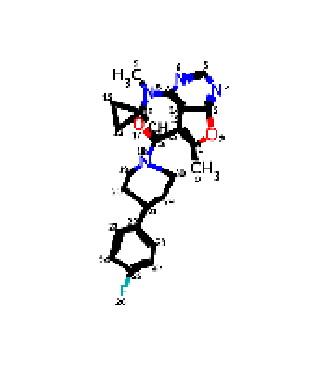 Cc1oc2ncnc(N(C)C3(C)CC3)c2c1C(=O)N1CCC(c2ccc(F)cc2)CC1